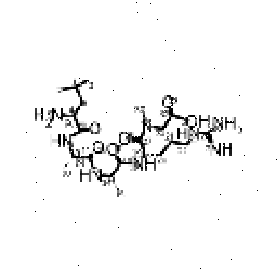 CC(C)C[C@H](N)C(=O)N[C@@H](C)C(=O)N[C@@H](C)C(=O)N[C@@H](CCCNC(=N)N)C(=O)N(C)CC(=O)O